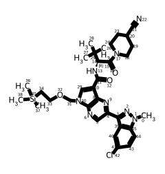 Cn1nc(-c2cnc3c(n2)c(C(=O)N[C@@H](C(=O)N2CCC(C#N)CC2)C(C)(C)C)cn3COCC[Si](C)(C)C)c2cc(Cl)ccc21